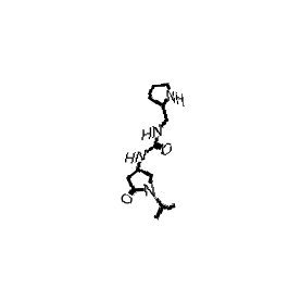 CC(C)N1CC(NC(=O)NCC2CCCN2)CC1=O